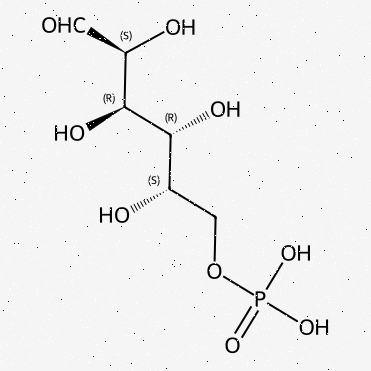 O=C[C@@H](O)[C@H](O)[C@H](O)[C@@H](O)COP(=O)(O)O